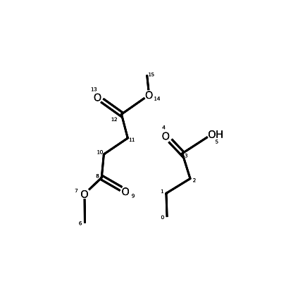 CCCC(=O)O.COC(=O)CCC(=O)OC